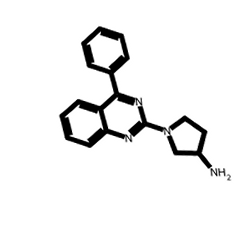 NC1CCN(c2nc(-c3ccccc3)c3ccccc3n2)C1